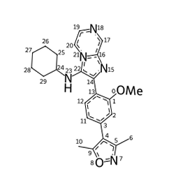 COc1cc(-c2c(C)noc2C)ccc1-c1nc2cnccn2c1NC1CCCCC1